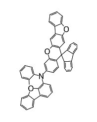 Cc1ccccc1N(c1ccc2c(c1)Oc1cc3c(cc1C21c2ccccc2-c2ccccc21)oc1ccccc13)c1cccc2c1oc1ccccc12